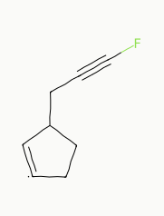 FC#CCC1C=[C]CC1